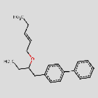 O=C(O)CC=CCOC(CC(=O)O)Cc1ccc(-c2ccccc2)cc1